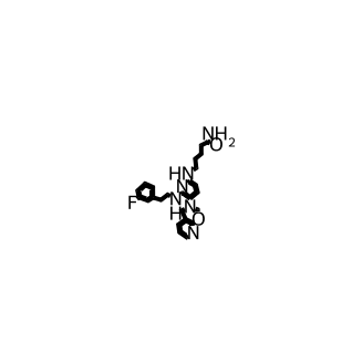 NC(=O)CCCCNc1ccc(N(C=O)Cc2cccnc2)c(NCCc2cccc(F)c2)n1